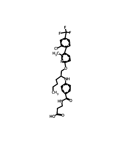 CCCCC(COc1ccc(-c2ccc(C(F)(F)F)cc2Cl)c(C)n1)Nc1ccc(C(=O)NCCC(=O)O)cc1